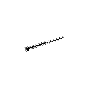 [CH2]CCCCCCCCCCCCCCCCCCCCCCCCN(C)C